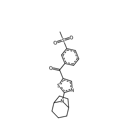 CS(=O)(=O)c1cccc(C(=O)c2cnc(N3C4CCCC3CC4)s2)c1